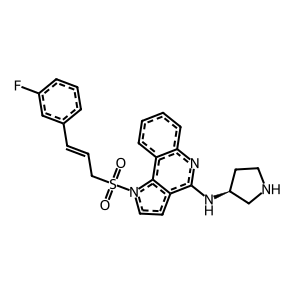 O=S(=O)(CC=Cc1cccc(F)c1)n1ccc2c(N[C@H]3CCNC3)nc3ccccc3c21